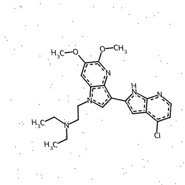 CCN(CC)CCn1cc(-c2cc3c(Cl)ccnc3[nH]2)c2nc(OC)c(OC)cc21